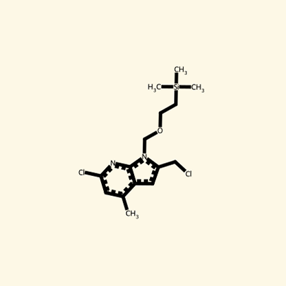 Cc1cc(Cl)nc2c1cc(CCl)n2COCC[Si](C)(C)C